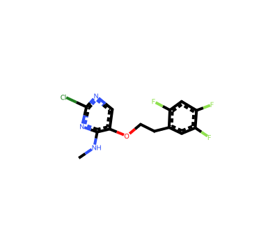 CNc1nc(Cl)ncc1OC[CH]c1cc(F)c(F)cc1F